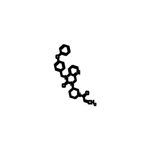 C=CC(=O)N1CCCC(N2Cc3ncccc3N(Cc3ccc(Oc4ccccc4)cc3)C2=O)C1